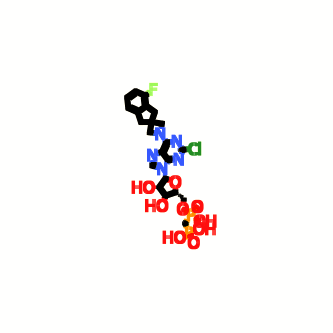 O=P(O)(O)CP(=O)(O)OC[C@H]1O[C@@H](n2cnc3c(N4CC5(Cc6cccc(F)c6C5)C4)nc(Cl)nc32)[C@@H](O)C1O